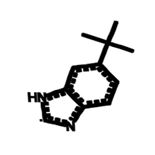 CC(C)(C)c1ccc2n[c][nH]c2c1